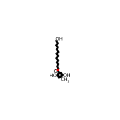 Cc1cc(O)c(C(=O)CCCCCCCCCCCCCCO)cc1O